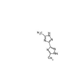 Cc1nc(-c2n[nH]c(C)n2)n[nH]1